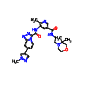 Cc1ncc(C(=O)NCCN2CCOCC2(C)C)cc1NC(=O)c1nnc2cc(-c3cnn(C)c3)ccn12